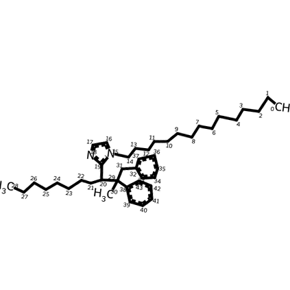 CCCCCCCCCCCCCCCn1ccnc1C(CCCCCCCC)C(C)(Cc1ccccc1)c1ccccc1